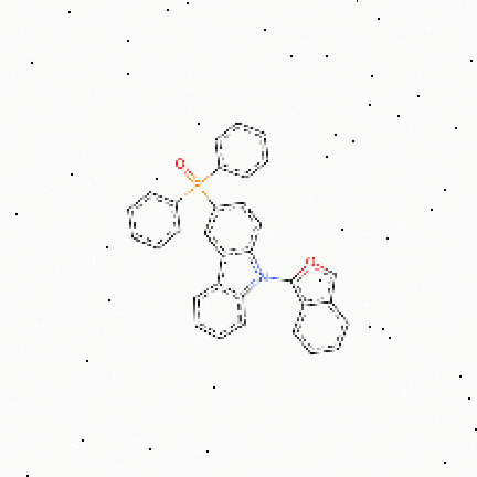 O=P(c1ccccc1)(c1ccccc1)c1ccc2c(c1)c1ccccc1n2-c1occ2ccccc12